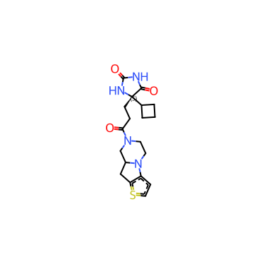 O=C1NC(=O)[C@](CCC(=O)N2CCN3c4ccsc4CC3C2)(C2CCC2)N1